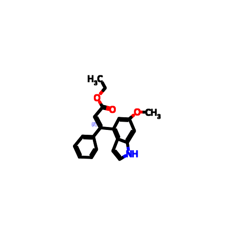 CCOC(=O)/C=C(/c1ccccc1)c1cc(OC)cc2[nH]ccc12